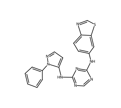 c1ccc(-n2nccc2Nc2ncnc(Nc3ccc4ncsc4c3)n2)cc1